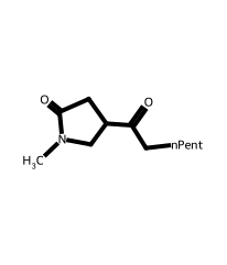 CCCCCCC(=O)C1CC(=O)N(C)C1